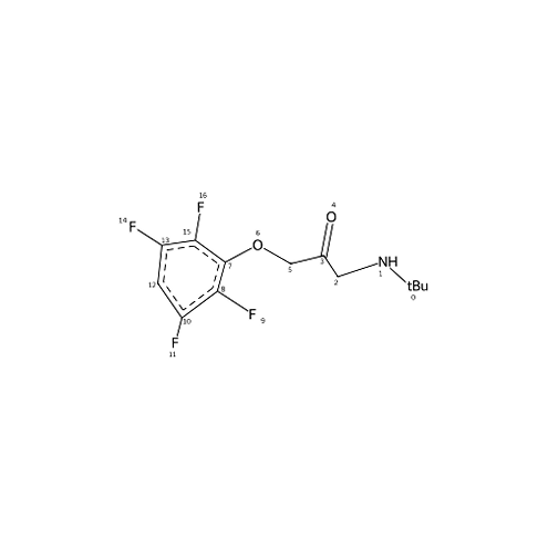 CC(C)(C)NCC(=O)COc1c(F)c(F)cc(F)c1F